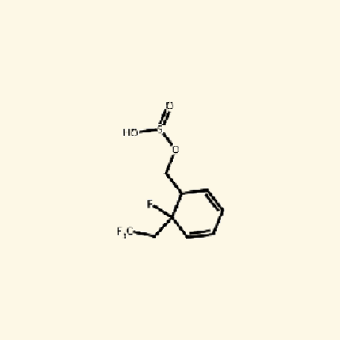 O=S(O)OCC1C=CC=CC1(F)CC(F)(F)F